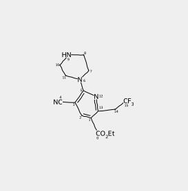 CCOC(=O)c1cc(C#N)c(N2CCNCC2)nc1CC(F)(F)F